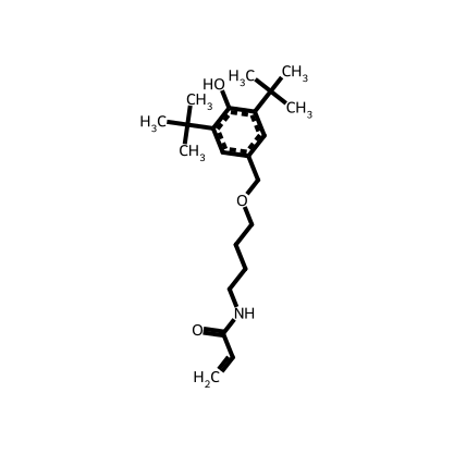 C=CC(=O)NCCCCOCc1cc(C(C)(C)C)c(O)c(C(C)(C)C)c1